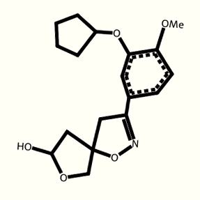 COc1ccc(C2=NOC3(COC(O)C3)C2)cc1OC1CCCC1